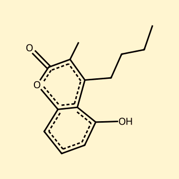 CCCCc1c(C)c(=O)oc2cccc(O)c12